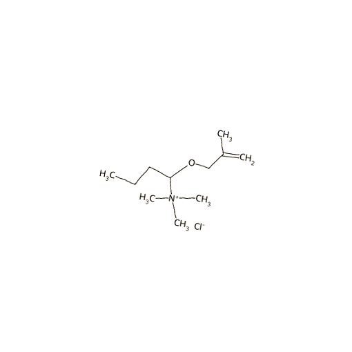 C=C(C)COC(CCC)[N+](C)(C)C.[Cl-]